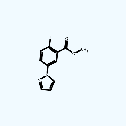 COC(=O)c1cc(-n2cccn2)ccc1I